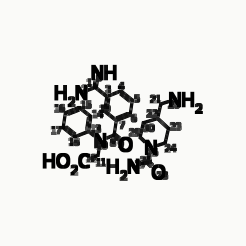 N=C(N)c1cccc(C(=O)N(CC(=O)O)c2ccccc2)c1.NCC1CCN(C(N)=O)CC1